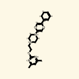 Cc1cc(C)nc(SCCN2CCN(C3=COC(C4=CC=CCC4)=CO3)CC2)n1